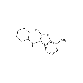 Cc1cccn2c(NC3CCCCC3)c(C(C)C)nc12